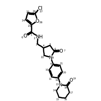 O=C(NCC1CC(=O)N(c2ccc(N3CCCCC3=O)cc2)C1)c1ccc(Cl)o1